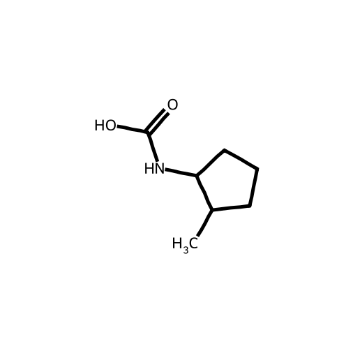 CC1CCCC1NC(=O)O